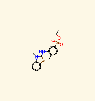 CCOS(=O)(=O)c1ccc(C)c(NC2Sc3ccccc3N2C)c1